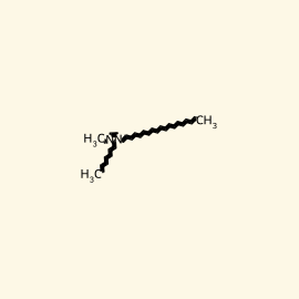 CCCCCCCCCCCCCCCCCCC[n+]1ccn(CC)c1CCCCCCCC